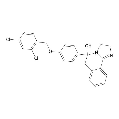 OC1(c2ccc(OCc3ccc(Cl)cc3Cl)cc2)Cc2ccccc2C2=NCCN21